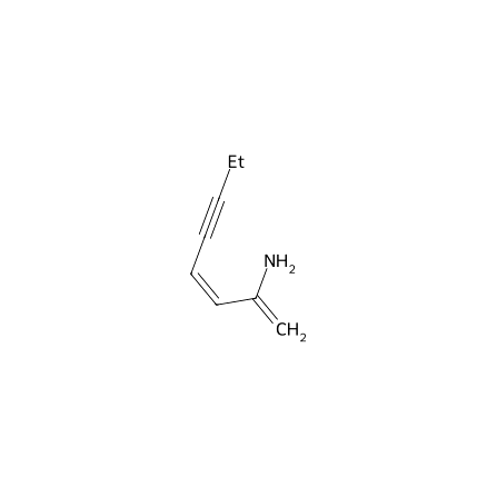 C=C(N)/C=C\C#CCC